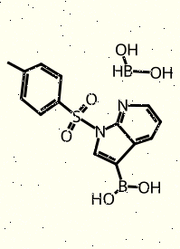 Cc1ccc(S(=O)(=O)n2cc(B(O)O)c3cccnc32)cc1.OBO